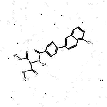 CNC(=O)C(C(=O)NO)N(C)C(=O)c1ccc(-c2ccc3c(C)cccc3c2)cc1